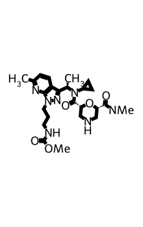 CNC(=O)[C@@H]1CNC[C@H](C(=O)N(C2CC2)[C@H](C)c2nn(CCCNC(=O)OC)c3nc(C)ccc23)O1